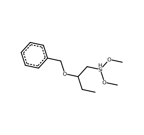 CCC(C[SiH](OC)OC)OCc1ccccc1